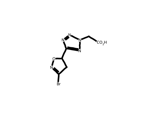 O=C(O)Cn1nnc(C2CC(Br)=NO2)n1